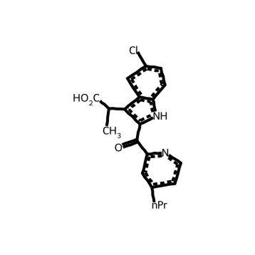 CCCc1ccnc(C(=O)c2[nH]c3ccc(Cl)cc3c2C(C)C(=O)O)c1